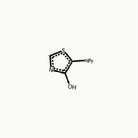 CCCc1s[c]nc1O